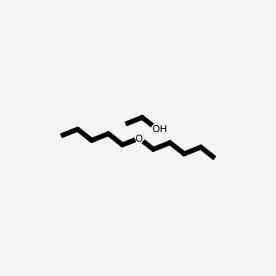 CCCCCOCCCCC.CCO